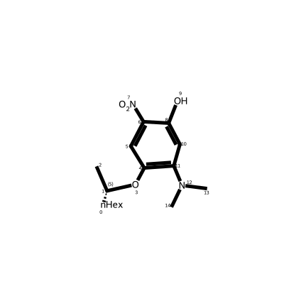 CCCCCC[C@H](C)Oc1cc([N+](=O)[O-])c(O)cc1N(C)C